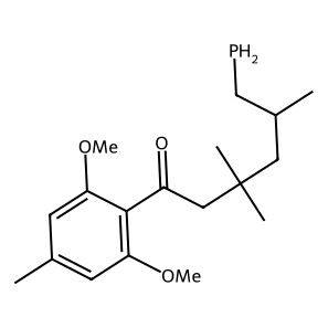 COc1cc(C)cc(OC)c1C(=O)CC(C)(C)CC(C)CP